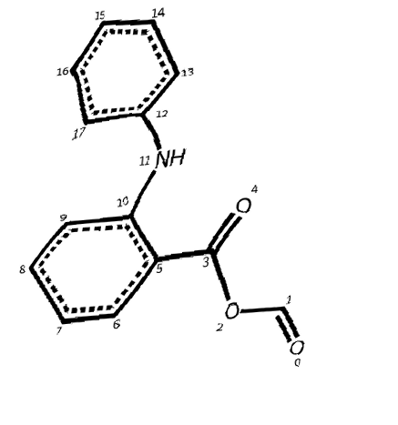 O=COC(=O)c1ccccc1Nc1ccccc1